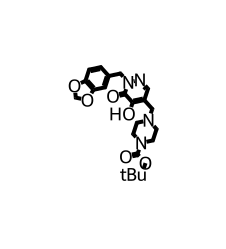 CC(C)(C)OC(=O)N1CCN(Cc2cnn(Cc3ccc4c(c3)OCO4)c(=O)c2O)CC1